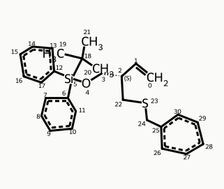 C=C[C@@H](CO[Si](c1ccccc1)(c1ccccc1)C(C)(C)C)CSCc1ccccc1